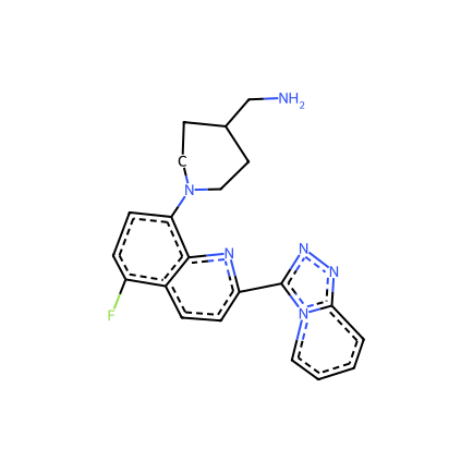 NCC1CCN(c2ccc(F)c3ccc(-c4nnc5ccccn45)nc23)CC1